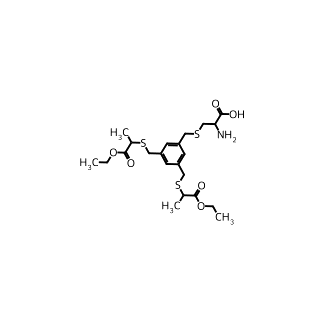 CCOC(=O)C(C)SCc1cc(CSCC(N)C(=O)O)cc(CSC(C)C(=O)OCC)c1